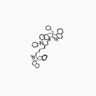 CN1/C(=C/C=C/C=C(/C=C/C=C/C2=[N+](C)c3ccc4ccccc4c3C2(Cc2ccccc2)Cc2ccccc2)N(c2ccccc2)c2ccccc2)C(Cc2ccccc2)(Cc2ccccc2)c2c1ccc1ccccc21